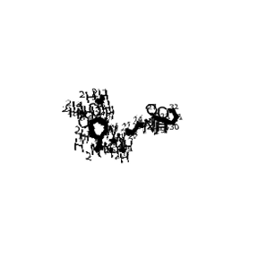 [2H]c1c(OC([2H])([2H])[2H])c(OC([2H])([2H])[2H])c([2H])c2c(N)nc(N(CCCNC(=O)C3([2H])CCCO3)C([2H])([2H])[2H])nc12